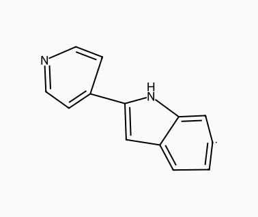 [c]1ccc2cc(-c3ccncc3)[nH]c2c1